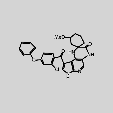 COC1CCCC2(C1)Nc1c(cnc3[nH]cc(C(=O)c4ccc(Oc5ccccc5)cc4Cl)c13)NC2=O